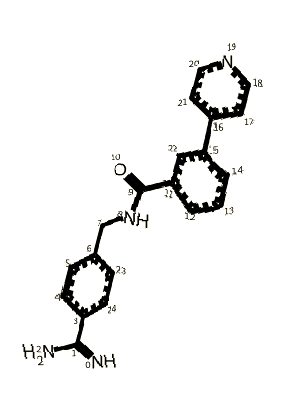 N=C(N)c1ccc(CNC(=O)c2cccc(-c3ccncc3)c2)cc1